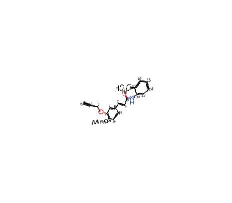 C#CCOc1cc(C=CC(=O)Nc2ccccc2C(=O)O)ccc1OC